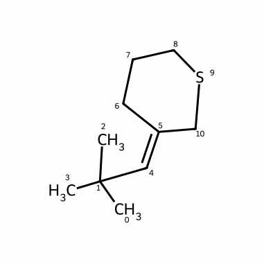 CC(C)(C)/C=C1\CCCSC1